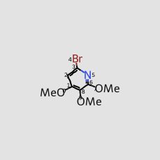 COc1[c]c(Br)nc(OC)c1OC